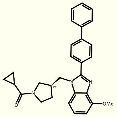 COc1cccc2c1nc(-c1ccc(-c3ccccc3)cc1)n2C[C@H]1CCN(C(=O)C2CC2)C1